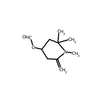 C=C1CC(OC=O)CC(C)(C)N1C